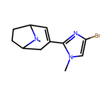 CN1C2C=C(c3nc(Br)cn3C)CC1CC2